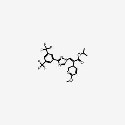 COC1=NCC(/C(=C\n2cnc(-c3cc(C(F)(F)F)cc(C(F)(F)F)c3)n2)C(=O)OC(C)C)C=C1